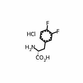 Cl.N[C@H](Cc1ccc(F)c(F)c1)C(=O)O